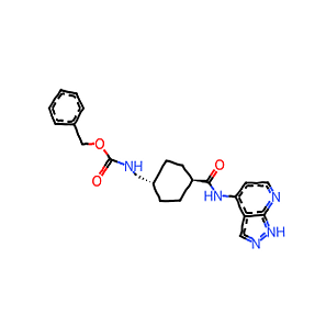 O=C(NC[C@H]1CC[C@H](C(=O)Nc2ccnc3[nH]ncc23)CC1)OCc1ccccc1